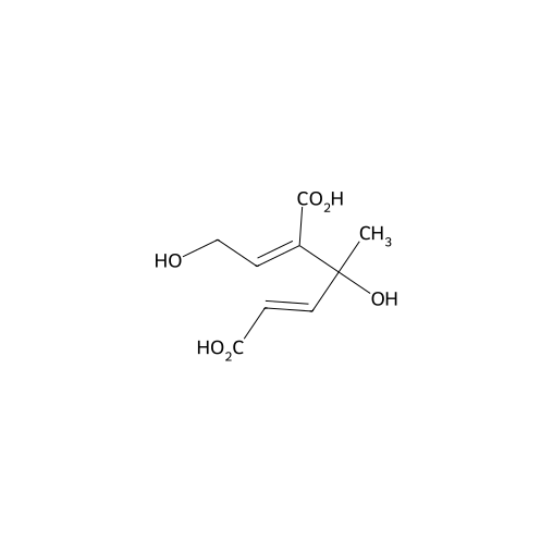 CC(O)(C=CC(=O)O)C(=CCO)C(=O)O